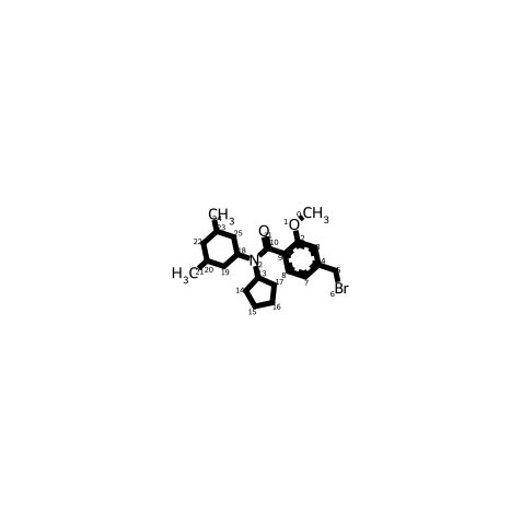 COc1cc(CBr)ccc1C(=O)N(C1CCCC1)C1CC(C)CC(C)C1